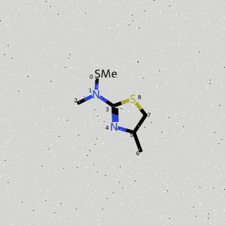 CSN(C)C1=NC(C)CS1